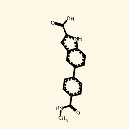 CNC(=O)c1ccc(-c2ccc3[nH]c(C(=O)O)cc3c2)cc1